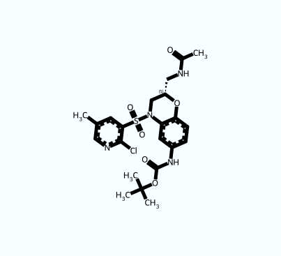 CC(=O)NC[C@H]1CN(S(=O)(=O)c2cc(C)cnc2Cl)c2cc(NC(=O)OC(C)(C)C)ccc2O1